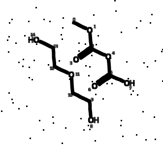 COC(=O)OC(=O)O.OCCOCCO